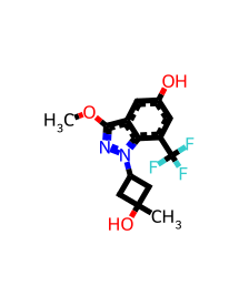 COc1nn(C2CC(C)(O)C2)c2c(C(F)(F)F)cc(O)cc12